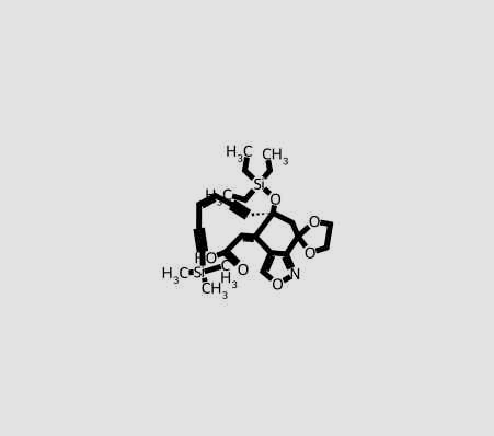 CC[Si](CC)(CC)O[C@@]1(C#C/C=C\C#C[Si](C)(C)C)CC2(OCCO2)c2nocc2/C1=C\C(=O)O